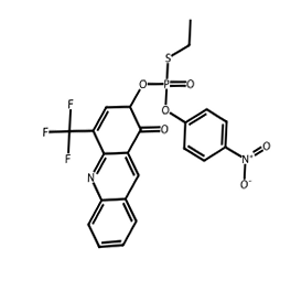 CCSP(=O)(Oc1ccc([N+](=O)[O-])cc1)OC1C=C(C(F)(F)F)c2nc3ccccc3cc2C1=O